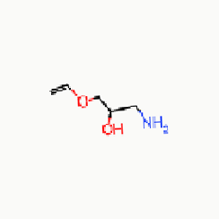 C=COCC(O)CN